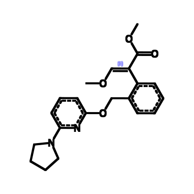 CO/C=C(/C(=O)OC)c1ccccc1COc1cccc(N2CCCC2)n1